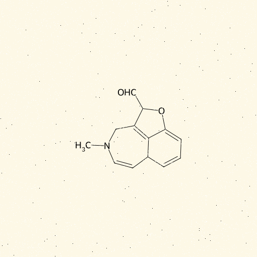 CN1C=CC2C=CC=C3OC(C=O)C(=C32)C1